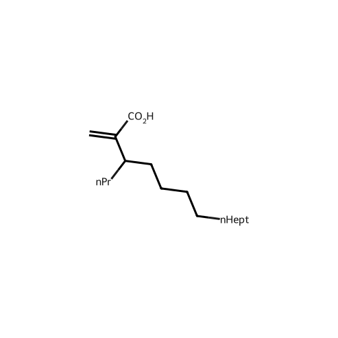 C=C(C(=O)O)C(CCC)CCCCCCCCCCC